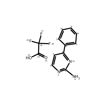 Nc1nccc(-c2ccccc2)n1.O=C(O)C(F)(F)F